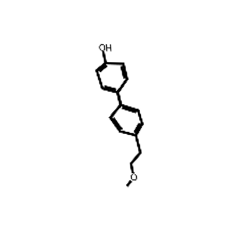 COCCc1ccc(-c2ccc(O)cc2)cc1